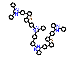 c1ccc(-c2cc(-c3ccc(-c4cccc(-c5nc(-c6ccc(-c7cccc8sc9c(-c%10ccc(-c%11nc(-c%12ccccc%12)nc%12ccccc%11%12)cc%10)cccc9c78)cc6)c6ccccc6n5)c4)cc3)nc(-c3ccc(-c4cccc5c4sc4cccc(-c6ccc(-c7nc(-c8ccccc8)cc(-c8ccccc8)n7)cc6)c45)cc3)n2)cc1